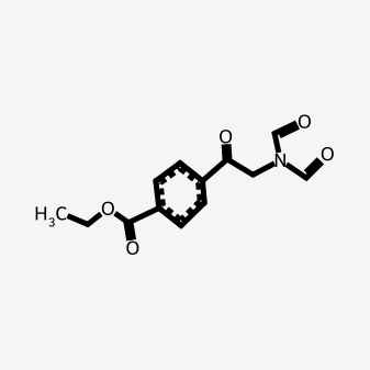 CCOC(=O)c1ccc(C(=O)CN(C=O)C=O)cc1